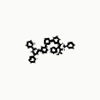 C[Si]1(C)c2ccccc2-c2c(-c3cccc(-c4cccc(-c5cccc(-c6cc(-c7ccccc7)cc(-c7ccccc7)n6)c5)c4)c3)nc(-c3ccccc3)nc21